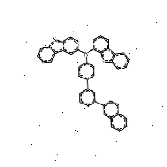 c1cc(-c2ccc(N(c3ccc4sc5ccccc5c4c3)c3cccc4c3sc3ccccc34)cc2)cc(-c2ccc3ccccc3c2)c1